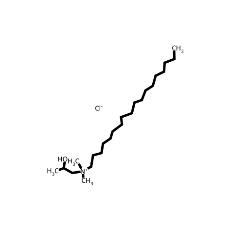 CCCCCCCCCCCCCCCCCC[N+](C)(C)CC(C)O.[Cl-]